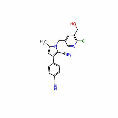 Cc1cc(-c2ccc(C#N)cc2)c(C#N)n1Cc1cnc(Cl)c(CO)c1